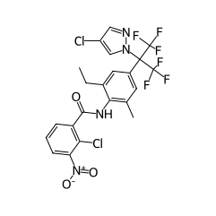 CCc1cc(C(n2cc(Cl)cn2)(C(F)(F)F)C(F)(F)F)cc(C)c1NC(=O)c1cccc([N+](=O)[O-])c1Cl